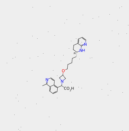 Cc1nccc2c(C(C(=O)O)N3CC(OCCCCC[C@@H]4CCc5cccnc5N4)C3)cccc12